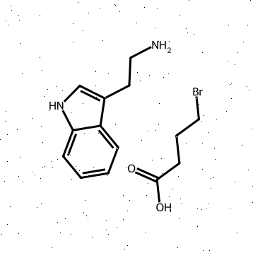 NCCc1c[nH]c2ccccc12.O=C(O)CCCBr